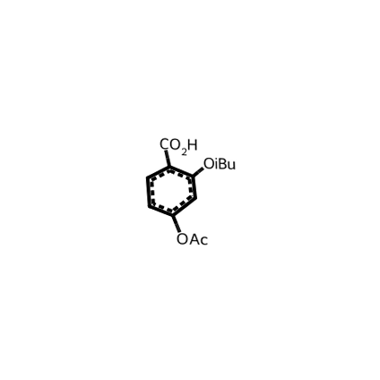 CC(=O)Oc1ccc(C(=O)O)c(OCC(C)C)c1